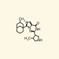 CC1CC2CCCC(c3ncc4c(=O)[nH]c(C5CNCC5C)nn34)(C1)C2